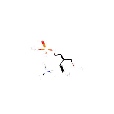 C=C/C(=C\COP(=O)(O)O)CO.CCN(CC)CC